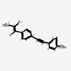 CCCCC(F)=C(F)c1ccc(C#Cc2ccc(CCCC)cc2)cc1